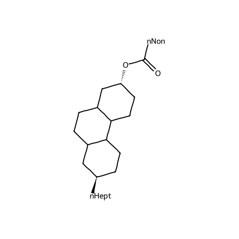 CCCCCCCCCC(=O)O[C@@H]1CCC2C(CCC3C[C@H](CCCCCCC)CCC32)C1